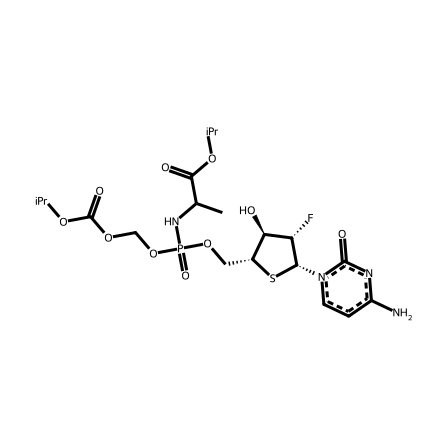 CC(C)OC(=O)OCOP(=O)(NC(C)C(=O)OC(C)C)OC[C@H]1S[C@@H](n2ccc(N)nc2=O)[C@@H](F)[C@@H]1O